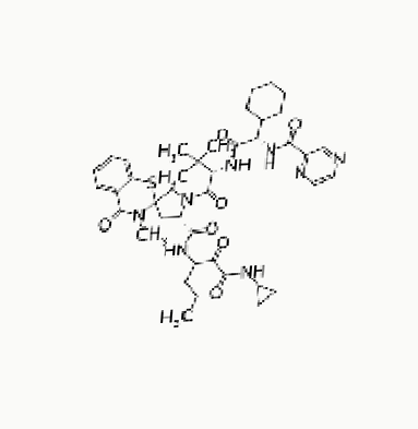 CCCC(NC(=O)[C@@H]1CC2(CN1C(=O)[C@@H](NC(=O)[C@@H](NC(=O)c1cnccn1)C1CCCCC1)C(C)(C)C)Sc1ccccc1C(=O)N2C)C(=O)C(=O)NC1CC1